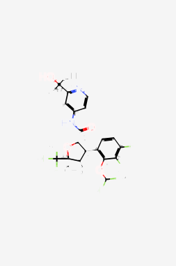 C[C@@H]1[C@H](c2ccc(F)c(F)c2OC(F)F)[C@@H](C(=O)Nc2ccnc(C(C)(C)O)c2)O[C@]1(C)C(F)(F)F